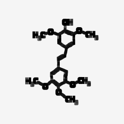 COc1cc(C=Cc2cc(OC)c(OC)c(OC)c2)cc(OC)c1O